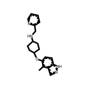 Cc1c(OC2CCC(NCc3ccccn3)CC2)ccc2[nH]ncc12